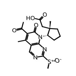 CC(=O)c1c(C)c2cnc([S+](C)[O-])nc2n([C@H]2CCC[C@@]2(C)CC(=O)O)c1=O